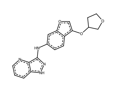 c1cnc2c(Nc3ccc4c(OC5CCOC5)coc4c3)n[nH]c2c1